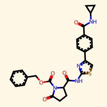 O=C(NC1CC1)c1ccc(-c2csc(NC(=O)C3CCC(=O)N3C(=O)OCc3ccccc3)n2)cc1